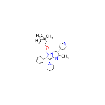 CC1=NC2=C(N3CCCCC3)C(c3ccccc3)N(COCC[Si](C)(C)C)N2C=C1c1ccncc1